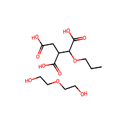 CCCOC(C(=O)O)C(CC(=O)O)C(=O)O.OCCOCCO